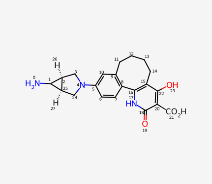 NC1[C@H]2CN(c3ccc4c(c3)CCCCc3c-4[nH]c(=O)c(C(=O)O)c3O)C[C@@H]12